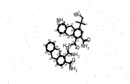 CC(C)(C)CC(C)(C)c1cc(C(N)=O)c(C(N)=O)c2c1Cc1ccccc1S2.N.NC(=O)c1ccc2c(c1C(N)=O)Sc1ccccc1C2